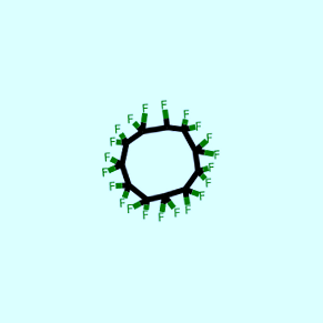 FC1C(F)(F)C(F)(F)C(F)(F)C(F)(F)C(F)(F)C(F)(F)C(F)(F)C(F)(F)C(F)(F)C1(F)F